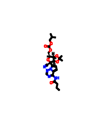 CCCC(=O)Nc1ncnn2c([C@]3(C#N)O[C@H](COC(=O)OCC(C)C)[C@H]4OC(C)(C)O[C@H]43)ccc12